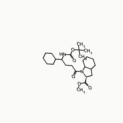 COC(=O)[C@@H]1CC2CCCCC2N1C(=O)CCC(NC(=O)OC(C)(C)C)C1CCCCC1